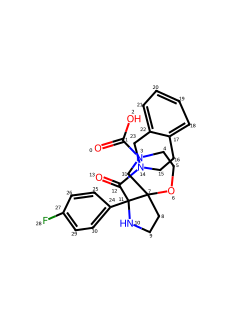 O=C(O)N1CCOC2(CCNC2(C(=O)N2CCc3ccccc3C2)c2ccc(F)cc2)C1